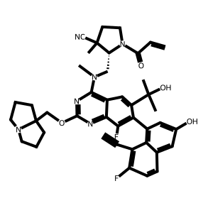 C#Cc1c(F)ccc2cc(O)cc(-c3c(C(C)(C)O)cc4c(N(C)C[C@H]5N(C(=O)C=C)CCC5(C)C#N)nc(OCC56CCCN5CCC6)nc4c3F)c12